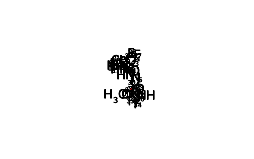 COC[C@H](c1ccnc(NC(=O)[C@@H](NC(=O)c2ccnn2C)C2CCC(F)(F)CC2)c1)N1CC(F)(F)CNC1=O